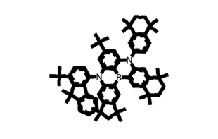 CC(C)(C)c1cc2c3c(c1)N(c1ccc(C(C)(C)C)c4c1-c1ccccc1C4(C)C)c1cc4c(cc1B3c1cc3c(cc1N2c1ccc2c(c1)C(C)(C)CCC2(C)C)C(C)(C)CCC3(C)C)C(C)(C)CC4(C)C